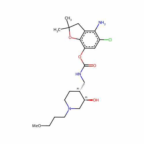 COCCCN1CC[C@H](CNC(=O)Oc2cc(Cl)c(N)c3c2OC(C)(C)C3)[C@@H](O)C1